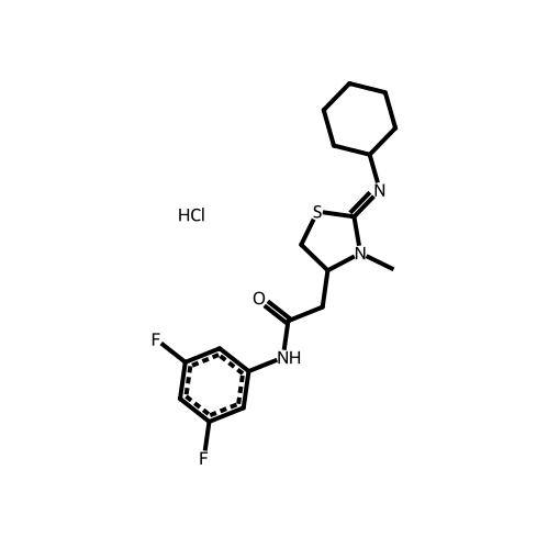 CN1C(=NC2CCCCC2)SCC1CC(=O)Nc1cc(F)cc(F)c1.Cl